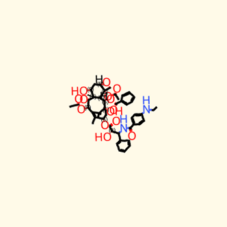 CCNc1ccc(C(=O)NC(c2ccccc2)[C@@H](O)C(=O)O[C@H]2C[C@@]3(O)[C@@H](OC(=O)c4ccccc4)[C@@H]4[C@]5(OC(C)=O)CO[C@@H]5C[C@H](O)[C@@]4(C)C(=O)[C@H](OC(C)=O)C(=C2C)C3(C)C)cc1